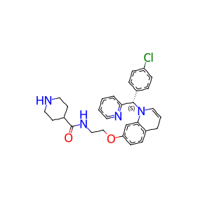 O=C(NCCOc1ccc2c(c1)N([C@@H](c1ccc(Cl)cc1)c1ccccn1)C=CC2)C1CCNCC1